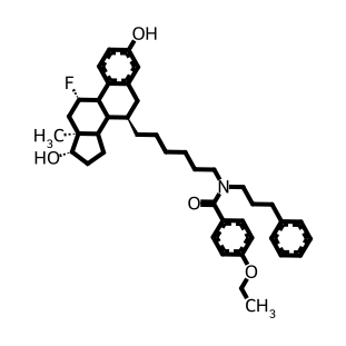 CCOc1ccc(C(=O)N(CCCCCC[C@@H]2Cc3cc(O)ccc3C3C2C2CC[C@H](O)[C@@]2(C)C[C@@H]3F)CCCc2ccccc2)cc1